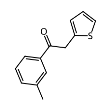 Cc1cccc(C(=O)Cc2cccs2)c1